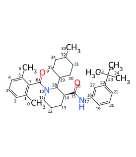 Cc1cccc(C)c1C(=O)N1CCC[C@H](C(=O)Nc2cccc(C(C)(C)C)c2)C1C1CCC(C)CC1